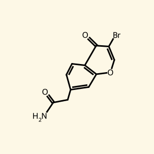 NC(=O)Cc1ccc2c(=O)c(Br)coc2c1